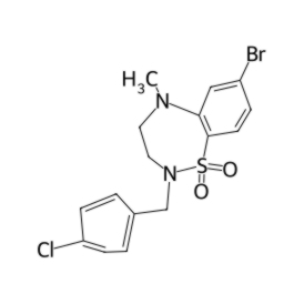 CN1CCN(Cc2ccc(Cl)cc2)S(=O)(=O)c2ccc(Br)cc21